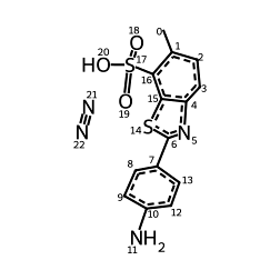 Cc1ccc2nc(-c3ccc(N)cc3)sc2c1S(=O)(=O)O.N#N